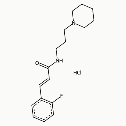 Cl.O=C(C=Cc1ccccc1F)NCCCN1CCCCC1